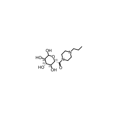 CCCN1CCN(C(=O)[C@H]2OC(O)[C@H](O)[C@@H](O)[C@@H]2O)CC1